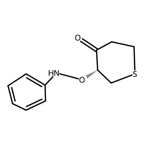 O=C1CCSC[C@@H]1ONc1ccccc1